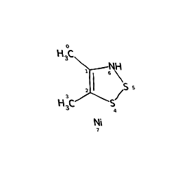 CC1=C(C)SSN1.[Ni]